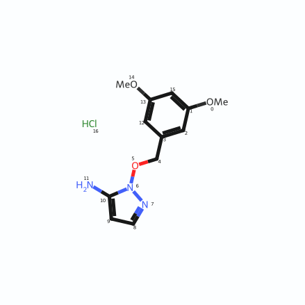 COc1cc(COn2nccc2N)cc(OC)c1.Cl